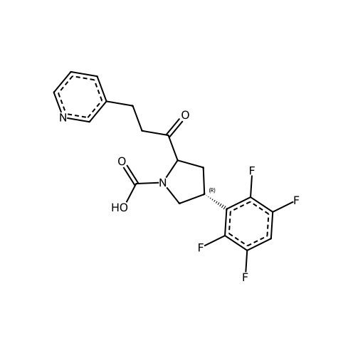 O=C(CCc1cccnc1)C1C[C@H](c2c(F)c(F)cc(F)c2F)CN1C(=O)O